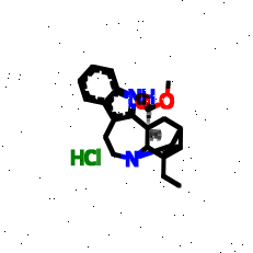 CCC1=CC2CN3CCc4c([nH]c5ccccc45)[C@@](C(=O)OC)(C2)C13.Cl